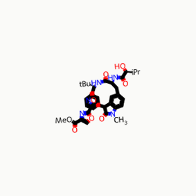 COC(=O)c1coc(-c2nc3oc2[C@@]2(c4ccccc4)C(=O)N(C)c4ccc(cc42)C[C@H](NC(=O)[C@@H](O)C(C)C)C(=O)N[C@H]3C(C)(C)C)n1